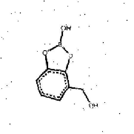 OCc1cccc2c1OB(O)O2